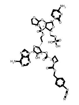 [N-]=[N+]=Nc1ccc(COC(=O)N2CC[C@H]2C(=O)O[C@H]2[C@@H](O)[C@H](n3cnc4c(N)ncnc43)O[C@@H]2CCOP(=O)(O)[C@H]2[C@@H](OC3CCCO3)[C@H](n3ccc(N)nc3=O)O[C@@H]2COP(=O)(O)O)cc1